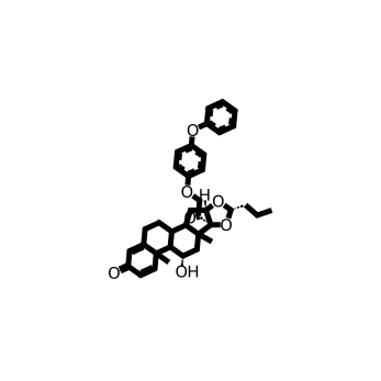 CCC[C@H]1O[C@@H]2CC3C4CCC5=CC(=O)C=CC5(C)C4[C@@H](O)CC3(C)[C@]2(C(=O)COc2ccc(Oc3ccccc3)cc2)O1